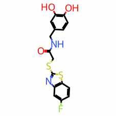 O=C(CSc1nc2cc(F)ccc2s1)NCc1ccc(O)c(O)c1